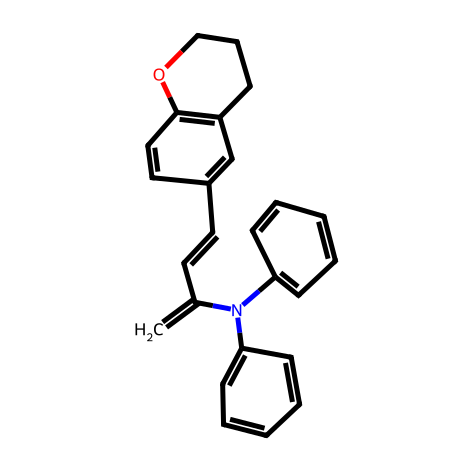 C=C(/C=C/c1ccc2c(c1)CCCO2)N(c1ccccc1)c1ccccc1